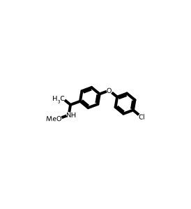 CONC(C)c1ccc(Oc2ccc(Cl)cc2)cc1